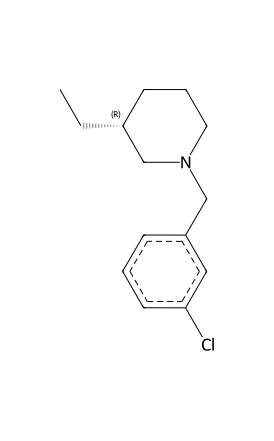 CC[C@@H]1CCCN(Cc2cccc(Cl)c2)C1